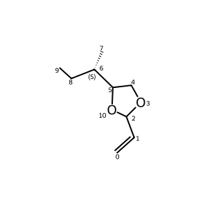 C=CC1OCC([C@@H](C)CC)O1